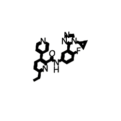 CCc1ccc(-c2ccncc2)c(C(=O)Nc2ccc(F)c(-c3nncn3C3CC3)c2)n1